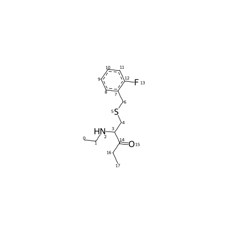 CCNC(CSCc1ccccc1F)C(=O)CC